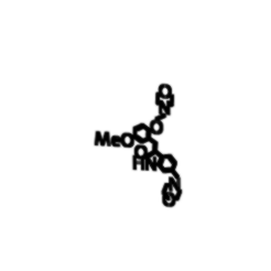 COc1ccc(OCCN2CCOCC2)c(C=C2C(=O)Nc3cc(CN4CCOCC4)ccc32)c1